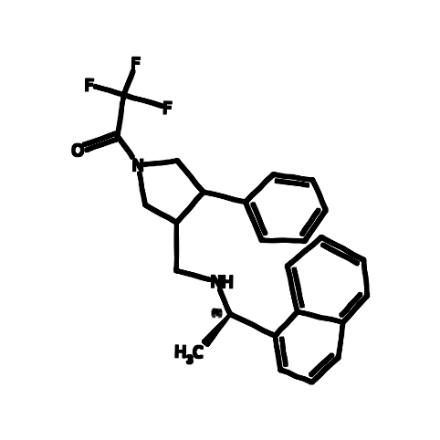 C[C@@H](NCC1CN(C(=O)C(F)(F)F)CC1c1ccccc1)c1cccc2ccccc12